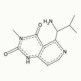 CC(C)C(N)c1nccc2[nH]c(=O)n(C)c(=O)c12